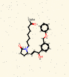 COC(=O)CCCCCCN1C(=O)CC[C@@H]1C=CC(O)c1cccc(COc2ccccc2)c1